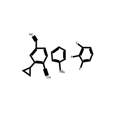 C#Cc1ccc(C#C)c(C2CC2)c1.CCCCc1ccccc1.Fc1cccc(F)c1F